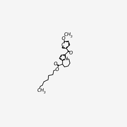 CCCCCCCCOC(=O)C1CCCCn2c(C(=O)c3ccc(OC)cc3)ccc21